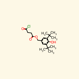 CC(C)(C)c1cc(COC(=O)CCC(=O)Cl)cc(C(C)(C)C)c1O